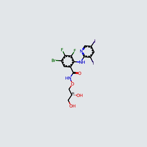 O=C(NOC[C@H](O)CO)c1cc(Br)c(F)c(F)c1Nc1ncc(I)cc1I